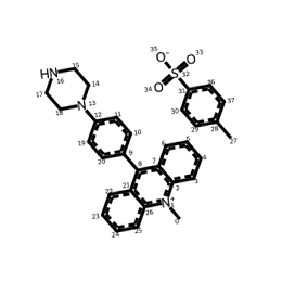 C[n+]1c2ccccc2c(-c2ccc(N3CCNCC3)cc2)c2ccccc21.Cc1ccc(S(=O)(=O)[O-])cc1